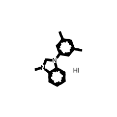 Cc1cc(C)cc(N2CN(C)c3ccccc32)c1.I